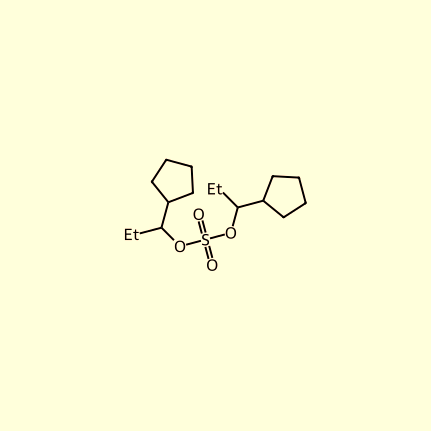 CCC(OS(=O)(=O)OC(CC)C1CCCC1)C1CCCC1